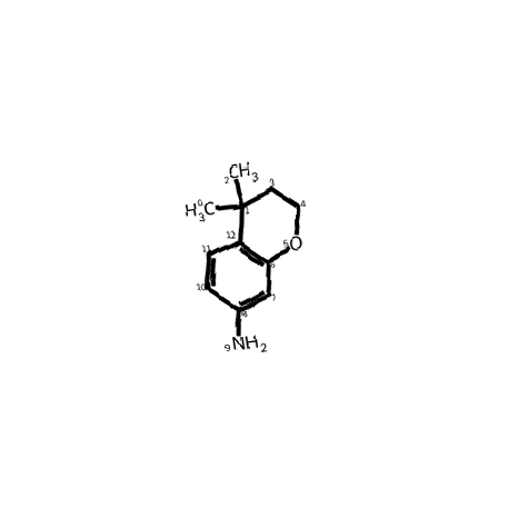 CC1(C)CCOc2cc(N)ccc21